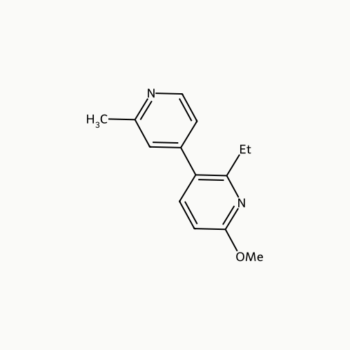 CCc1nc(OC)ccc1-c1ccnc(C)c1